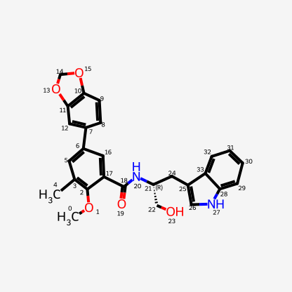 COc1c(C)cc(-c2ccc3c(c2)OCO3)cc1C(=O)N[C@@H](CO)Cc1c[nH]c2ccccc12